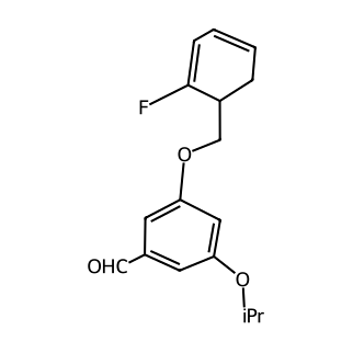 CC(C)Oc1cc(C=O)cc(OCC2CC=CC=C2F)c1